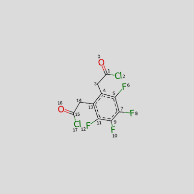 O=C(Cl)Cc1c(F)c(F)c(F)c(F)c1CC(=O)Cl